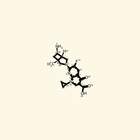 C[C@@]12C[C@@H](N)[C@@H]1CN(c1nc3c(cc1F)c(=O)c(C(=O)O)cn3C1CC1)C2